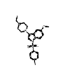 CCN1CCN(c2cn(S(=O)(=O)c3ccc(C)cc3)c3ccc(OC)cc23)CC1